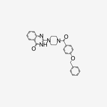 O=C(c1ccc(OCc2ccccc2)cc1)N1CCN(c2nc3ccccc3c(=O)[nH]2)CC1